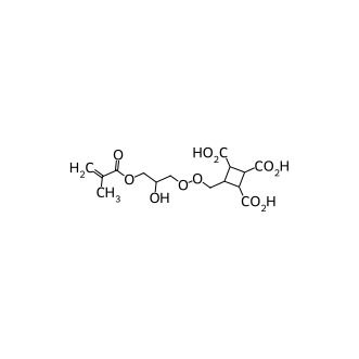 C=C(C)C(=O)OCC(O)COOCC1C(C(=O)O)C(C(=O)O)C1C(=O)O